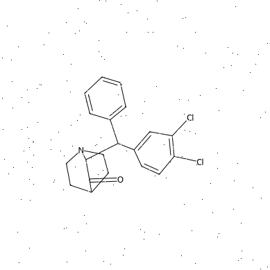 O=C1C2CCN(CC2)C1C(c1ccccc1)c1ccc(Cl)c(Cl)c1